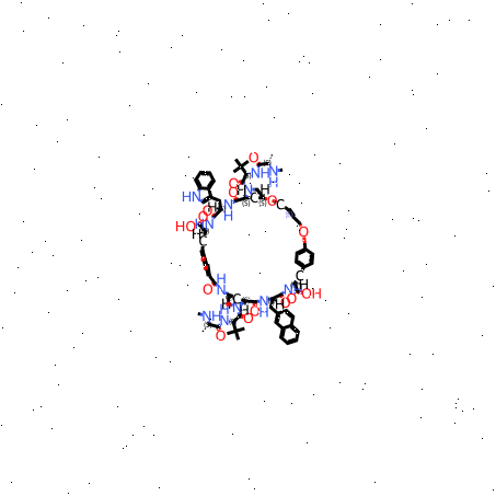 CN[C@@H](C)C(=O)N[C@H](C(=O)N1C[C@@H]2C[C@H]1C(=O)N[C@@H](Cc1ccc3ccccc3c1)C(=O)N[C@H](C(=O)O)Cc1ccc(cc1)OC/C=C/CO[C@H]1C[C@@H](C(=O)N[C@@H](Cc3c[nH]c4ccccc34)C(=O)N[C@H](C(=O)O)Cc3ccc(cc3)C(=O)N2)N(C(=O)[C@@H](NC(=O)[C@H](C)NC)C(C)(C)C)C1)C(C)(C)C